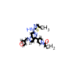 C=CC(=O)N1CC=C(c2nc(Nc3ncc(C)s3)cc3c2ccn3CC2CCOC2)CC1